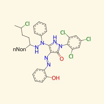 CCCCCCCCCC(CCC(C)Cl)NN(c1ccccc1)c1[nH]n(-c2c(Cl)cc(Cl)cc2Cl)c(=O)c1N=Nc1ccccc1O